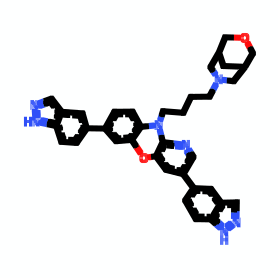 c1cc2c(cc1-c1ccc3[nH]ncc3c1)Oc1cc(-c3ccc4[nH]ncc4c3)cnc1N2CCCCN1CC2COCC(C2)C1